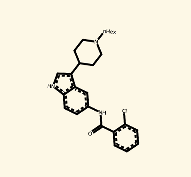 CCCCCCN1CCC(c2c[nH]c3ccc(NC(=O)c4ccccc4Cl)cc23)CC1